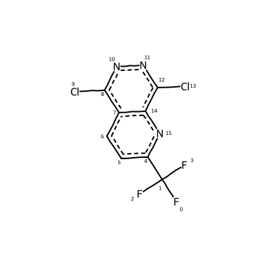 FC(F)(F)c1ccc2c(Cl)nnc(Cl)c2n1